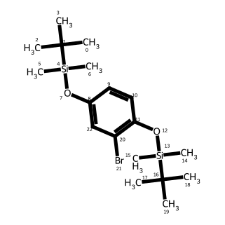 CC(C)(C)[Si](C)(C)Oc1ccc(O[Si](C)(C)C(C)(C)C)c(Br)c1